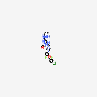 Fc1cc(Cl)ccc1COc1cc(N2CCN(Cc3nc4cc(-c5nnc(C(F)(F)F)[nH]5)nnc4n3C[C@@H]3CCO3)CC2)ccc1F